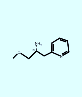 COC[C@H](N)Cc1ccccn1